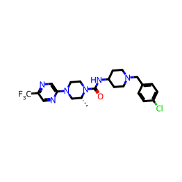 C[C@@H]1CN(c2cnc(C(F)(F)F)cn2)CCN1C(=O)NC1CCN(Cc2ccc(Cl)cc2)CC1